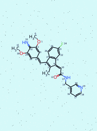 COC1=CC(=CC2=C(C)C(=CC(=O)NCc3cccnc3)c3cc(F)ccc32)C=C(OC)C1=N